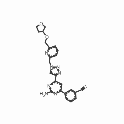 N#Cc1cccc(-c2cc(-c3cn(Cc4cccc(COC5CCOC5)n4)nn3)nc(N)n2)c1